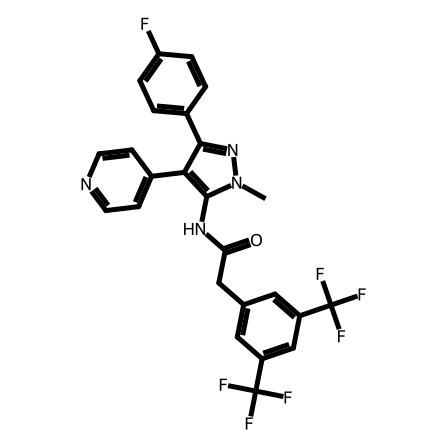 Cn1nc(-c2ccc(F)cc2)c(-c2ccncc2)c1NC(=O)Cc1cc(C(F)(F)F)cc(C(F)(F)F)c1